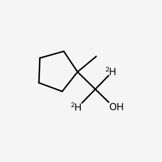 [2H]C([2H])(O)C1(C)CCCC1